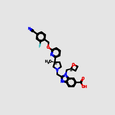 C[C@]1(c2cccc(OCc3ccc(C#N)cc3F)n2)CCN(Cc2nc3ccc(C(=O)O)cc3n2C[C@@H]2CCO2)C1